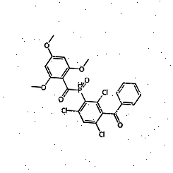 COc1cc(OC)c(C(=O)[PH](=O)c2c(Cl)cc(Cl)c(C(=O)c3ccccc3)c2Cl)c(OC)c1